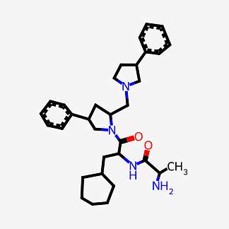 CC(N)C(=O)NC(CC1CCCCC1)C(=O)N1CC(c2ccccc2)CC1CN1CCC(c2ccccc2)C1